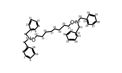 c1ccc(CN(Cc2ccccc2)OCCCCCCCCON(Cc2ccccc2)Cc2ccccc2)cc1